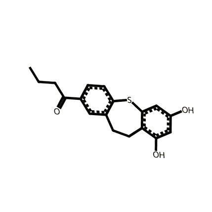 CCCC(=O)c1ccc2c(c1)CCc1c(O)cc(O)cc1S2